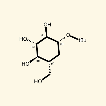 CC(C)(C)O[C@@H]1C[C@H](CO)[C@@H](O)[C@H](O)[C@H]1O